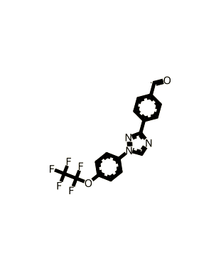 O=[C]c1ccc(-c2ncn(-c3ccc(OC(F)(F)C(F)(F)F)cc3)n2)cc1